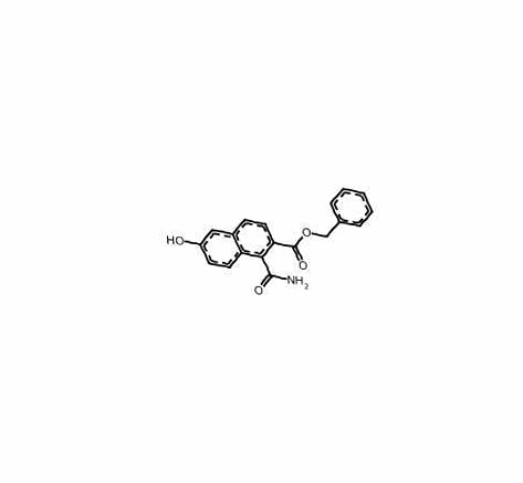 NC(=O)c1c(C(=O)OCc2ccccc2)ccc2cc(O)ccc12